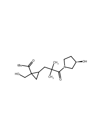 CC(C)(C)C(=O)C1(CO)CC1CC(C)(C)C(=O)N1CC[C@@H](O)C1